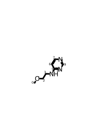 COCCNc1ccncn1